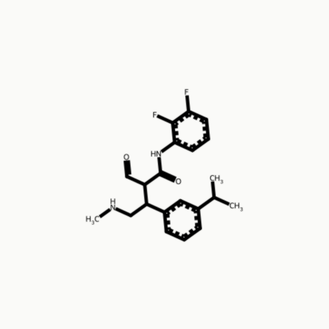 CNCC(c1cccc(C(C)C)c1)C(C=O)C(=O)Nc1cccc(F)c1F